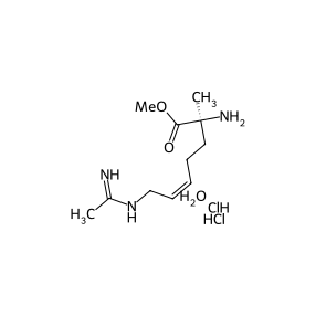 COC(=O)[C@@](C)(N)CC/C=C\CNC(C)=N.Cl.Cl.O